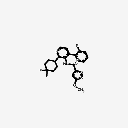 COc1cc(C(=O)Nc2c(-c3ncccc3F)ccnc2C2CCC(F)(F)CC2)sn1